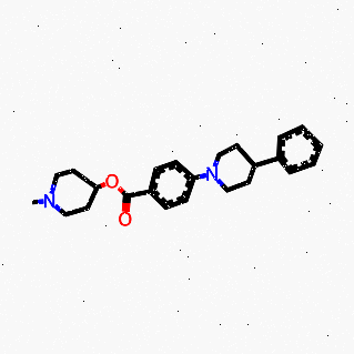 CN1CCC(OC(=O)c2ccc(N3CCC(c4ccccc4)CC3)cc2)CC1